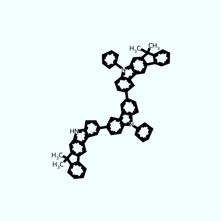 CC1(C)c2ccccc2-c2cc3c(cc21)[nH]c1ccc(-c2ccc4c(c2)c2cc(-c5ccc6c(c5)c5cc7c(cc5n6-c5ccccc5)C(C)(C)c5ccccc5-7)ccc2n4-c2ccccc2)cc13